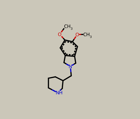 COc1cc2c(cc1OC)CN(CC1CCCNC1)C2